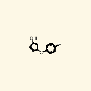 O[C@@H]1C=C[C@H](Oc2ccc(F)cc2)C1